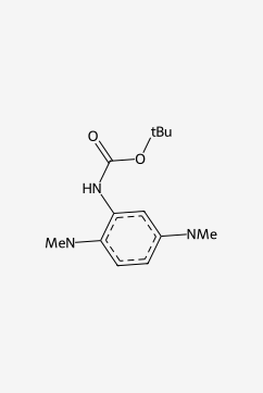 CNc1ccc(NC)c(NC(=O)OC(C)(C)C)c1